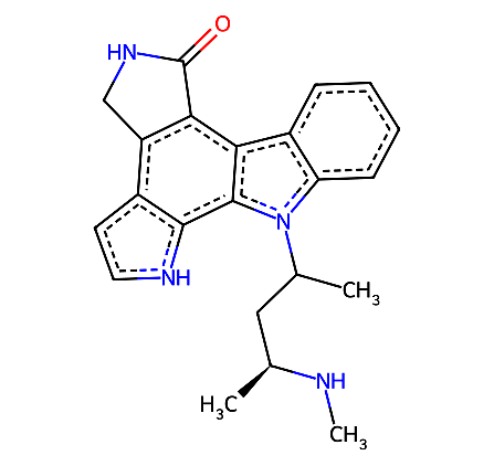 CN[C@@H](C)CC(C)n1c2ccccc2c2c3c(c4cc[nH]c4c21)CNC3=O